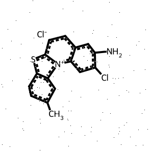 Cc1ccc2sc3ccc4cc(N)c(Cl)cc4[n+]3c2c1.[Cl-]